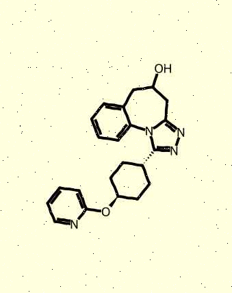 OC1Cc2ccccc2-n2c(nnc2[C@H]2CC[C@H](Oc3ccccn3)CC2)C1